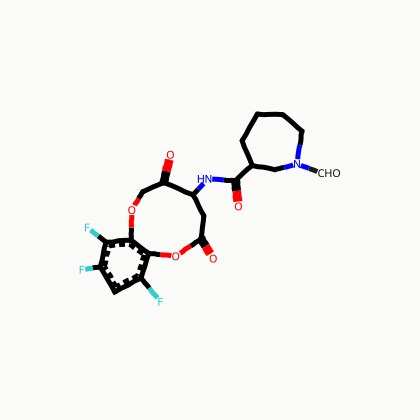 O=CN1CCCCC(C(=O)NC2CC(=O)Oc3c(F)cc(F)c(F)c3OCC2=O)C1